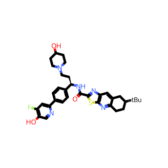 CC(C)(C)C1CCc2nc3sc(C(=O)N[C@H](CCN4CCC(O)CC4)c4ccc(-c5cc(F)c(O)cn5)cc4)nc3cc2C1